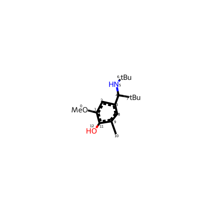 COc1cc(C(NC(C)(C)C)C(C)(C)C)cc(C)c1O